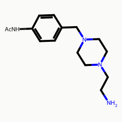 CC(=O)Nc1ccc(CN2CCN(CCN)CC2)cc1